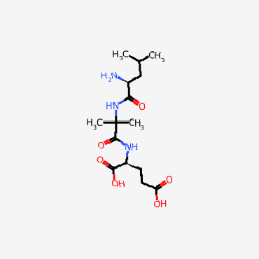 CC(C)C[C@H](N)C(=O)NC(C)(C)C(=O)N[C@@H](CCC(=O)O)C(=O)O